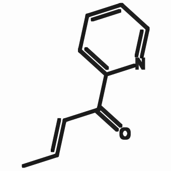 CC=CC(=O)c1ccccn1